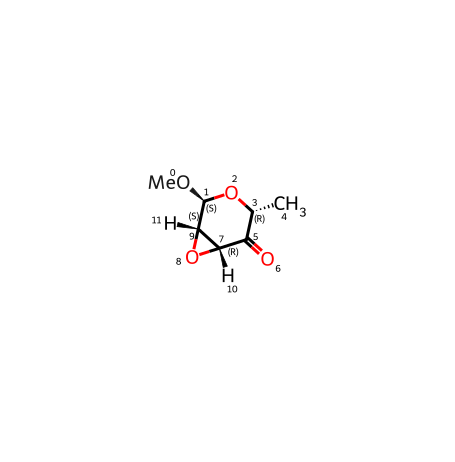 CO[C@H]1O[C@H](C)C(=O)[C@@H]2O[C@H]12